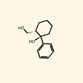 OC[C@@H]1CCCC[C@]1(O)c1ccccc1